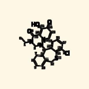 CCN1CN(C2c3ccccc3CSc3c(Cl)cccc32)n2ccc(=O)c(O)c2C1=O